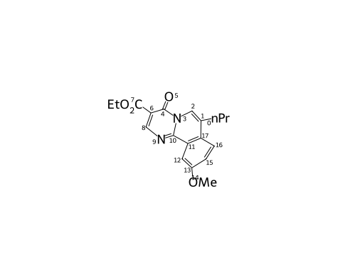 CCCc1cn2c(=O)c(C(=O)OCC)cnc2c2cc(OC)ccc12